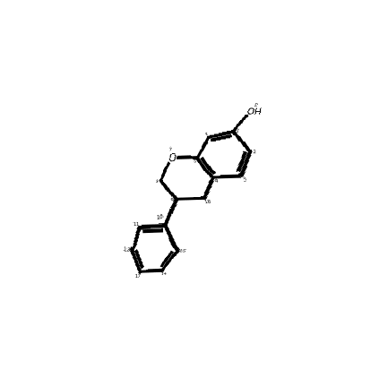 Oc1ccc2c(c1)OCC(c1ccccc1)C2